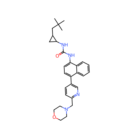 CC(C)(C)CC1CC1NC(=O)Nc1ccc(-c2ccc(CN3CCOCC3)nc2)c2ccccc12